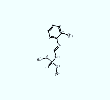 CCCSP(=O)(NC=Nc1ccccc1C)SC(C)CC